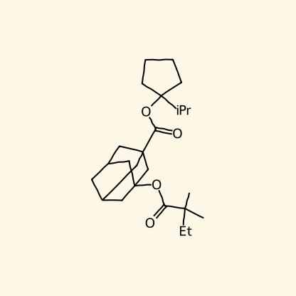 CCC(C)(C)C(=O)OC12CC3CC(C1)CC(C(=O)OC1(C(C)C)CCCC1)(C3)C2